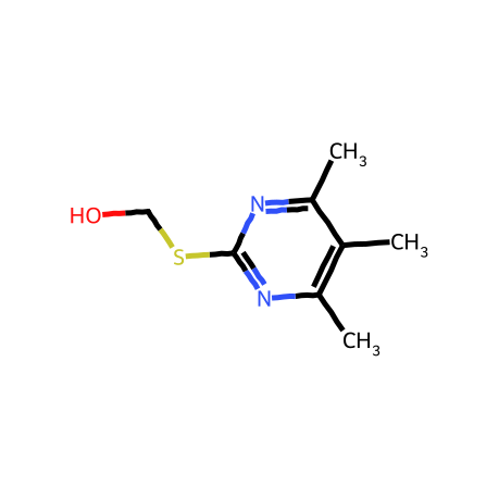 Cc1nc(SCO)nc(C)c1C